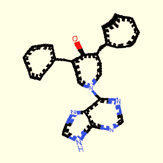 O=c1c(-c2ccccc2)cn(-c2ncnc3[nH]cnc23)cc1-c1ccccc1